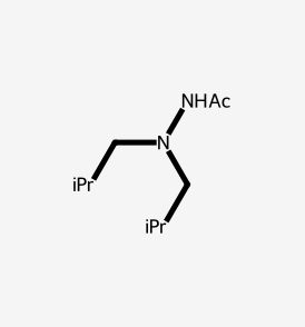 CC(=O)NN(CC(C)C)CC(C)C